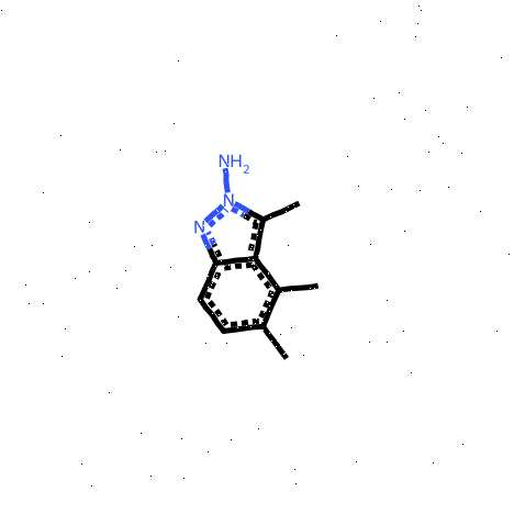 Cc1ccc2nn(N)c(C)c2c1C